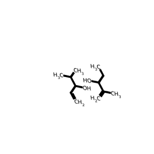 C=C(C)C(O)CC.C=CC(O)C(C)C